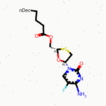 CCCCCCCCCCCCCC(=O)OC[C@H]1O[C@@H](n2cc(F)c(N)nc2=O)CS1